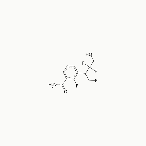 NC(=O)c1cccc([C](CF)C(F)(F)CO)c1F